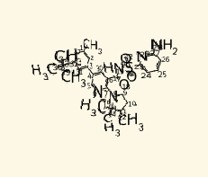 Cc1cc(-c2cnc(N3CCC(C)C3(C)C)c(C(=O)NS(=O)(=O)c3cccc(N)n3)c2)cc(C(C)(C)C)c1